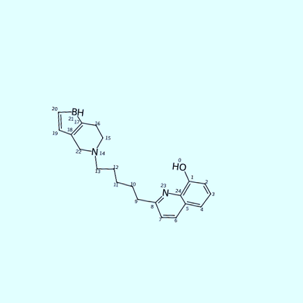 Oc1cccc2ccc(CCCCCN3CCC4=C(C=CB4)C3)nc12